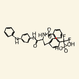 O=C(Nc1ccc(Nc2ccccc2)cc1)[C@H](Cc1ccc(C(F)(F)P(=O)(O)O)cc1)NS(=O)(=O)c1ccccc1